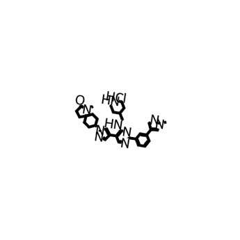 CN1C(=O)CCC12CCC(n1cc(-c3cnc(-c4cccc(-c5cnn(C)c5)c4)nc3NCC3CCNCC3)cn1)CC2.Cl